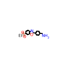 CCS(=O)(=O)c1ccc2nc(-c3ccc(CN)cc3)oc2c1